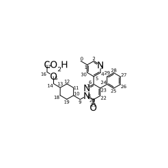 Cc1cncc(-c2nn(CC3CCC(COCC(=O)O)CC3)c(=O)cc2-c2ccccc2)c1